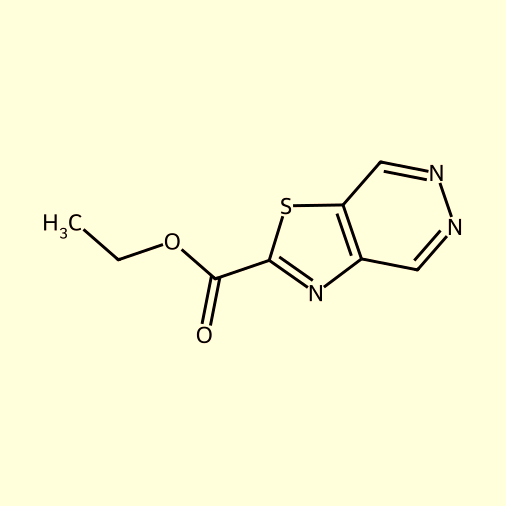 CCOC(=O)c1nc2cnncc2s1